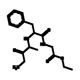 CCOC(=O)CNC(=O)C(Cc1ccccc1)NC(C)C(=O)CN